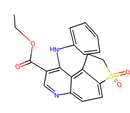 CCOC(=O)c1cnc2ccc3c(c2c1Nc1ccccc1)CCS3(=O)=O